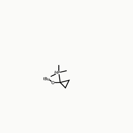 CC(C)(C)OC1([PH](C)(C)C)CC1